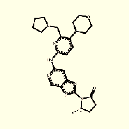 C[C@H]1CCC(=O)N1c1nc2cc(Nc3ccc(C4CCOCC4)c(CN4CCCC4)n3)ncc2s1